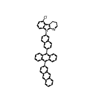 Clc1cccc2c1c1c(n2-c2ccc3cc(-c4c5ccccc5c(-c5ccc6cc7ccccc7cc6c5)c5ccccc45)ccc3c2)N=CCC1